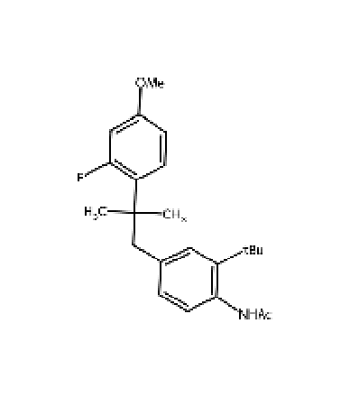 COc1ccc(C(C)(C)Cc2ccc(NC(C)=O)c(C(C)(C)C)c2)c(F)c1